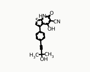 CC(C)(O)C#Cc1ccc(-c2csc3[nH]c(=O)c(C#N)c(O)c23)cc1